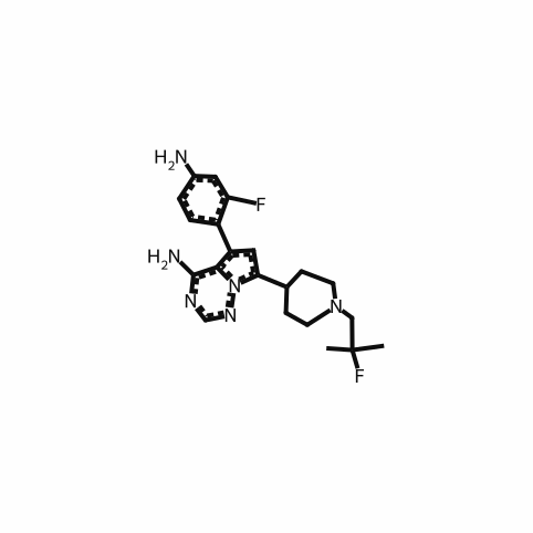 CC(C)(F)CN1CCC(c2cc(-c3ccc(N)cc3F)c3c(N)ncnn23)CC1